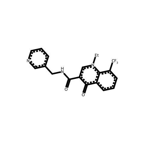 CCn1cc(C(=O)NCc2cccnc2)c(=O)c2cccc(C(F)(F)F)c21